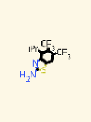 CC(C)c1c(C(F)(F)F)c(C(F)(F)F)cc2sc(N)nc12